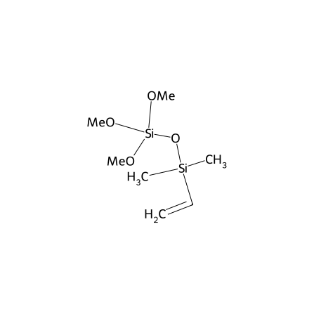 C=C[Si](C)(C)O[Si](OC)(OC)OC